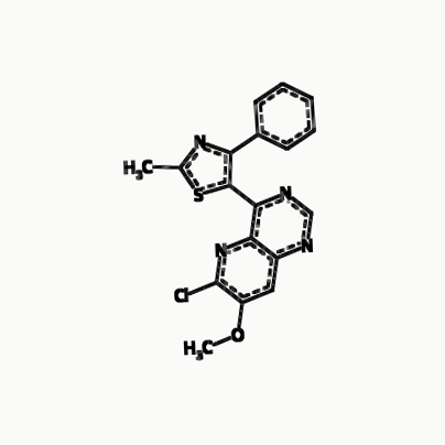 COc1cc2ncnc(-c3sc(C)nc3-c3ccccc3)c2nc1Cl